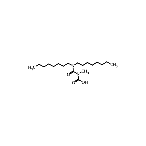 CCCCCCCCN(CCCCCCCC)C(=O)N(C)C(=O)O